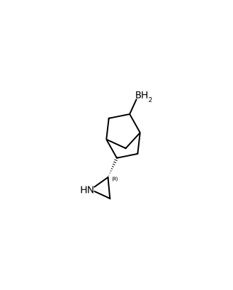 BC1CC2CC1CC2[C@@H]1CN1